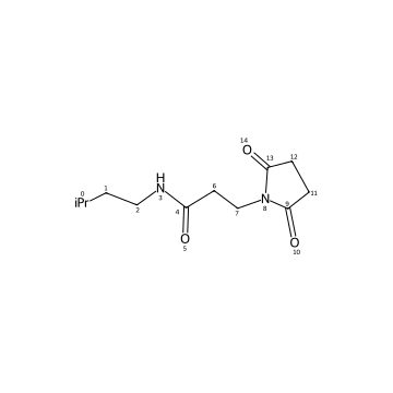 CC(C)CCNC(=O)CCN1C(=O)CCC1=O